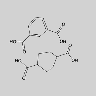 O=C(O)C1CCC(C(=O)O)CC1.O=C(O)c1cccc(C(=O)O)c1